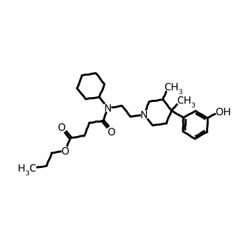 CCCOC(=O)CCC(=O)N(CCN1CCC(C)(c2cccc(O)c2)C(C)C1)C1CCCCC1